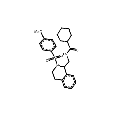 COc1ccc(S(=O)(=O)N2CCc3ccccc3C2CNC(=O)C2CCCCC2)cc1